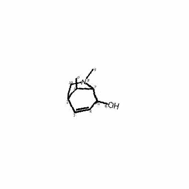 CC1C2C=CC(O)C1N(C)C2